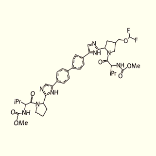 COC(=O)NC(C(=O)N1CCCC1c1ncc(-c2ccc(-c3ccc(-c4cnc(C5CC(COC(F)F)CN5C(=O)C(NC(=O)OC)C(C)C)[nH]4)cc3)cc2)[nH]1)C(C)C